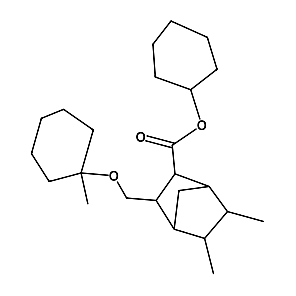 CC1C(C)C2CC1C(COC1(C)CCCCC1)C2C(=O)OC1CCCCC1